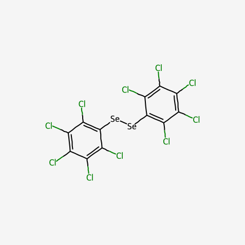 Clc1c(Cl)c(Cl)c([Se][Se]c2c(Cl)c(Cl)c(Cl)c(Cl)c2Cl)c(Cl)c1Cl